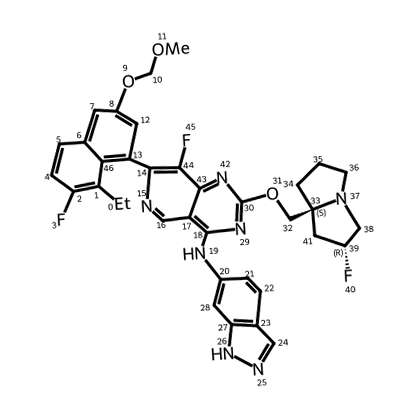 CCc1c(F)ccc2cc(OCOC)cc(-c3ncc4c(Nc5ccc6cn[nH]c6c5)nc(OC[C@@]56CCCN5C[C@H](F)C6)nc4c3F)c12